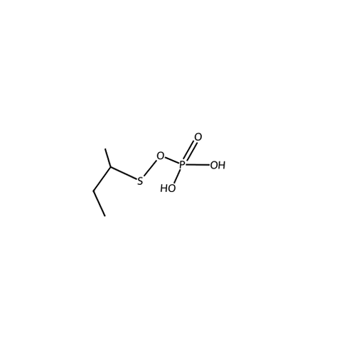 CCC(C)SOP(=O)(O)O